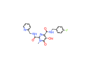 Cn1c(C(=O)NCc2ccccn2)nc(C(=O)NCc2ccc(F)cc2)c(O)c1=O